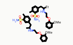 CCC(Cc1ccc(C)c(S(N)(=O)=O)c1)NCCOc1ccccc1OC.COc1ccccc1OCCNC(C)Cc1ccc(C)c(S(N)(=O)=O)c1